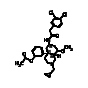 COC1C[C@H](NC(=O)Cc2ccc(Cl)c(Cl)c2)C[C@]2(c3cccc(OC(C)=O)c3)CCN(CC3CC3)C[C@@H]12